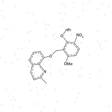 CCCOc1c([N+](=O)[O-])ccc(OC)c1COc1cccc2ccc(C)nc12